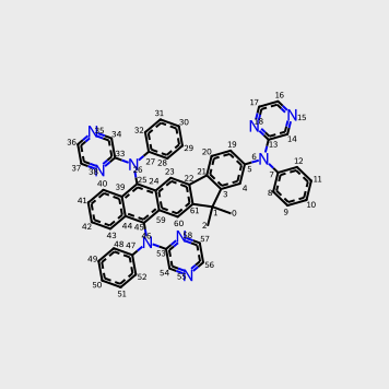 CC1(C)c2cc(N(c3ccccc3)c3cnccn3)ccc2-c2cc3c(N(c4ccccc4)c4cnccn4)c4ccccc4c(N(c4ccccc4)c4cnccn4)c3cc21